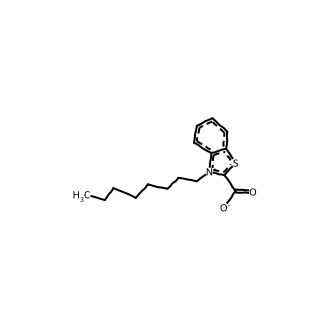 CCCCCCCC[n+]1c(C(=O)[O-])sc2ccccc21